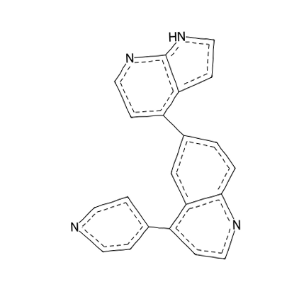 c1cc(-c2ccnc3ccc(-c4ccnc5[nH]ccc45)cc23)ccn1